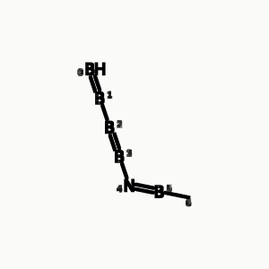 B=BB=BN=BC